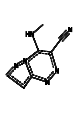 CNc1c(C#N)nnc2ccnn12